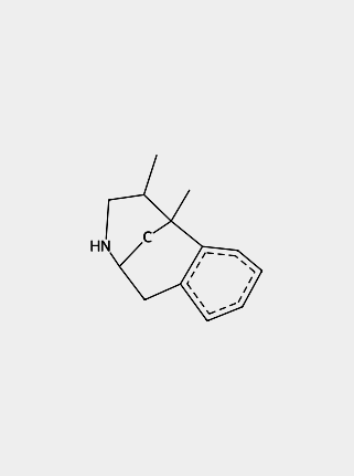 CC1CNC2Cc3ccccc3C1(C)C2